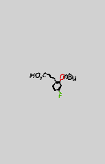 CCCCOc1cc(F)ccc1CC=CC(=O)O